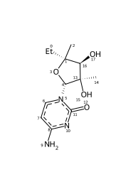 CC[C@@]1(C)O[C@@H](n2ccc(N)nc2=O)[C@](C)(O)[C@@H]1O